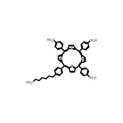 O=C(O)CCCCCCc1ccc(-c2c3nc(c(-c4ccc(S(=O)(=O)O)cc4)c4ccc([nH]4)c(-c4ccc(S(=O)(=O)O)cc4)c4nc(c(-c5ccc(S(=O)(=O)O)cc5)c5ccc2[nH]5)C=C4)C=C3)cc1